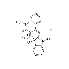 CN1c2ccccc2C(=CC2=[N+](C)c3ccccc3C2(C)C)c2ccccc21.[I-]